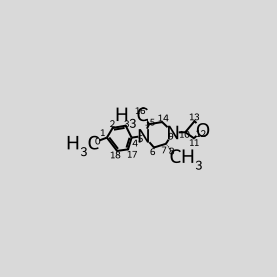 Cc1ccc(N2C[C@@H](C)N(C3COC3)CC2C)cc1